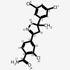 CC1(c2cc(Cl)cc(Cl)c2)CC(c2ccc(C(N)=O)c(Cl)c2)=NS1